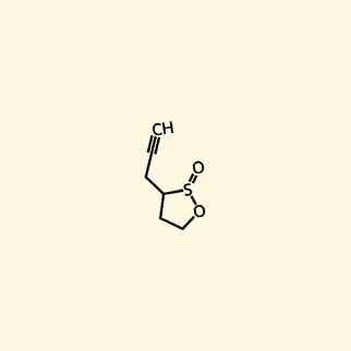 C#CCC1CCOS1=O